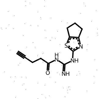 C#CCCC(=O)NC(=N)Nc1nc2c(s1)CCC2